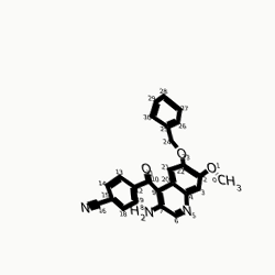 COc1cc2ncc(N)c(C(=O)c3ccc(C#N)cc3)c2cc1OCc1ccccc1